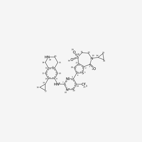 O=C1c2sc(-c3nc(Nc4cc5c(cc4C4CC4)CNCC5)ncc3C(F)(F)F)cc2S(=O)(=O)CCN1C1CC1